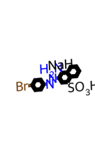 Nc1c(N=Nc2ccc(Br)cc2)cc(S(=O)(=O)O)c2ccccc12.[NaH]